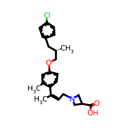 C/C(=C/CN1CC(C(=O)O)C1)c1ccc(OC[C@@H](C)Cc2ccc(Cl)cc2)cc1C